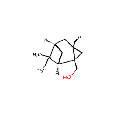 CC1(C)[C@H]2C[C@@H]3C[C@]3(CO)[C@@H]1C2